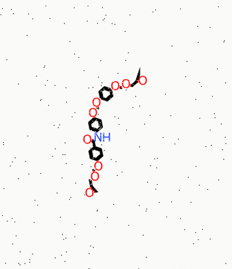 O=C(Nc1ccc(OCOc2ccc(OCOCC3CO3)cc2)cc1)c1ccc(OCOCC2CO2)cc1